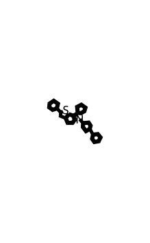 c1ccc(-c2ccc(-n3c4ccccc4c4c5c(ccc43)CC(c3ccccc3)S5)cc2)cc1